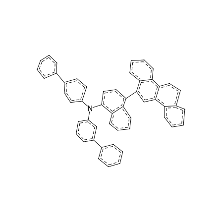 c1ccc(-c2ccc(N(c3cccc(-c4ccccc4)c3)c3ccc(-c4cc5c6ccccc6ccc5c5ccccc45)c4ccccc34)cc2)cc1